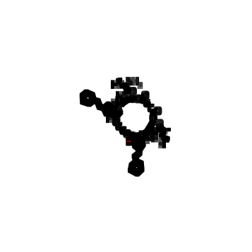 CN[C@@H](C)C(=O)NC1COC(=O)CCC(=O)OC[C@H](NC(=O)[C@H](N)NC)C(=O)N2C[C@@H](OCCO[C@@H]3CN(C1=O)[C@@H]1CC(CCc4ccccc4)C[C@@H]13)[C@H]1CC(CCc3ccccc3)C[C@H]12